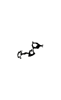 Cc1cc(F)cc(N2CC3CC3(C#CC3=NC=CCN3C)C2)c1